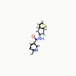 Cc1ccc(C(=O)NC2Cc3ccsc3C2)cn1